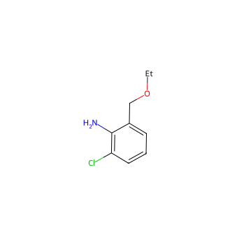 CCOCc1cccc(Cl)c1N